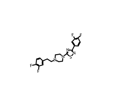 Fc1ccc(CCN2CCN(c3nc(-c4ccc(F)c(F)c4)ns3)CC2)cc1F